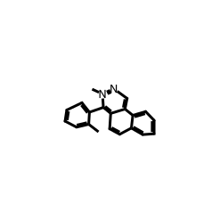 Cc1ccccc1-c1c2ccc3ccccc3c2cn[n+]1C